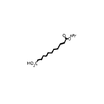 CCCOC(=O)CCCCCCCCCCC(=O)O